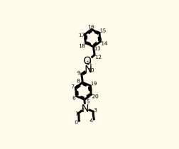 CCN(CC)c1ccc(C=NOCc2ccccc2)cc1